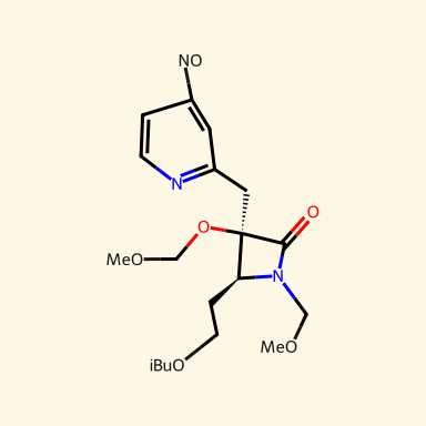 COCO[C@@]1(Cc2cc(N=O)ccn2)C(=O)N(COC)[C@H]1CCOCC(C)C